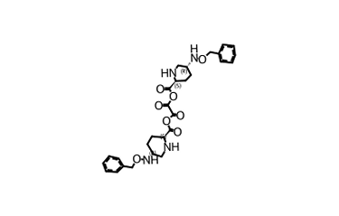 O=C(OC(=O)[C@@H]1CC[C@@H](NOCc2ccccc2)CN1)C(=O)OC(=O)[C@@H]1CC[C@@H](NOCc2ccccc2)CN1